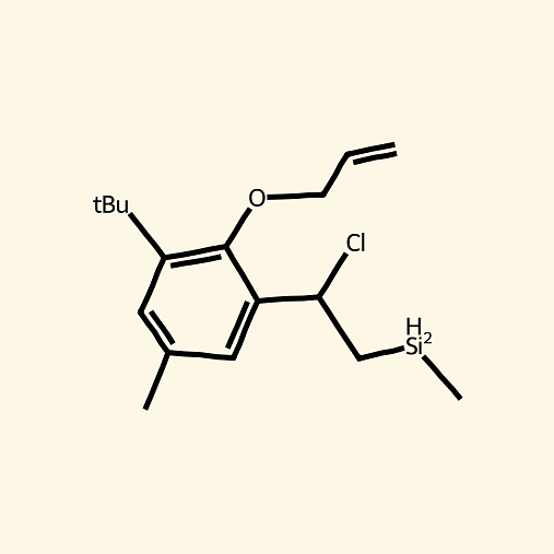 C=CCOc1c(C(Cl)C[SiH2]C)cc(C)cc1C(C)(C)C